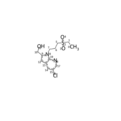 CCS(=O)(=O)CCCn1c(CO)cc2cc(Cl)cnc21